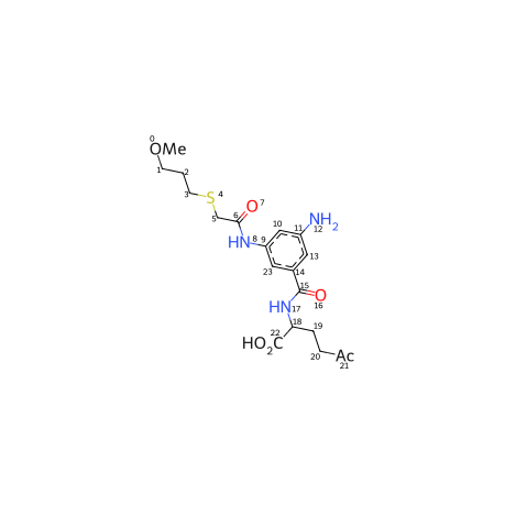 COCCCSCC(=O)Nc1cc(N)cc(C(=O)NC(CCC(C)=O)C(=O)O)c1